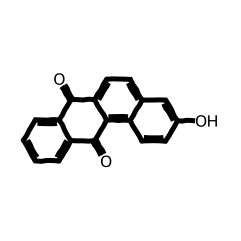 O=C1c2ccccc2C(=O)c2c1ccc1cc(O)ccc21